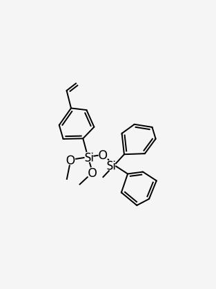 C=Cc1ccc([Si](OC)(OC)O[Si](C)(c2ccccc2)c2ccccc2)cc1